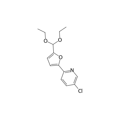 CCOC(OCC)c1ccc(-c2ccc(Cl)cn2)o1